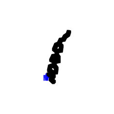 CCCCCC1CCC(c2ccc(C3CCC(C#N)(CCC)CC3)cc2)CC1